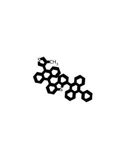 Cc1cscc1-c1c2ccccc2c(-c2cccc3sc4c(-c5c6ccccc6c(-c6ccccc6)c6ccccc56)cccc4c23)c2ccccc12